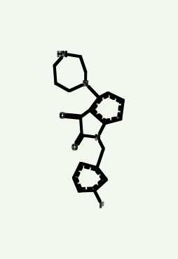 O=C1C(=O)N(Cc2cccc(F)c2)c2cccc(N3CCCNCC3)c21